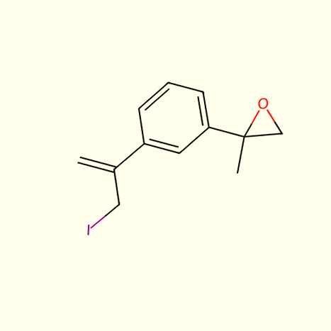 C=C(CI)c1cccc(C2(C)CO2)c1